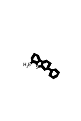 Bc1cccc2c1sc1cc(-c3ccccc3)ccc12